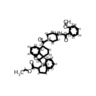 CCOC(=O)C1CCCCN1C(=O)[C@@]1(c2ccccc2)CC[C@H](C(=O)N2CCC(NC(=O)c3ccccc3OC)CC2)c2ccccc21